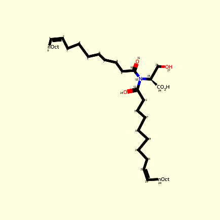 CCCCCCCC/C=C\CCCCCCCC(=O)N(C(=O)CCCCCCC/C=C\CCCCCCCC)[C@@H](CO)C(=O)O